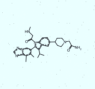 CNCC(=O)n1c(-c2cn3ncnc3c(C)c2C)c(C(C)C)c2cc(C3CCN(CC(N)=O)CC3)ccc21